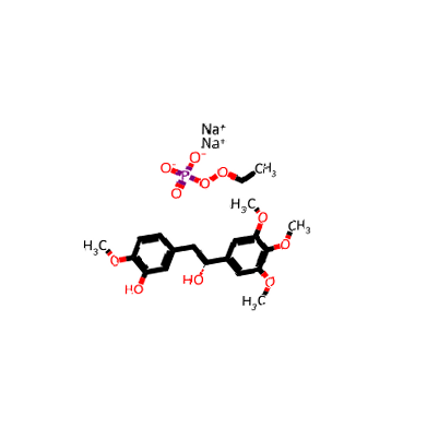 CCOOP(=O)([O-])[O-].COc1ccc(C[C@@H](O)c2cc(OC)c(OC)c(OC)c2)cc1O.[Na+].[Na+]